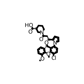 COc1cccc([C@@H]2O[C@@H](CC(=O)N3CCC[C@H](C(=O)O)C3)c3cccn3-c3ccc(Cl)cc32)c1OC